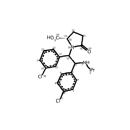 CC(C)NC(c1ccc(Cl)cc1)C(c1cccc(Cl)c1)N1C(=O)CC[C@H]1C(=O)O